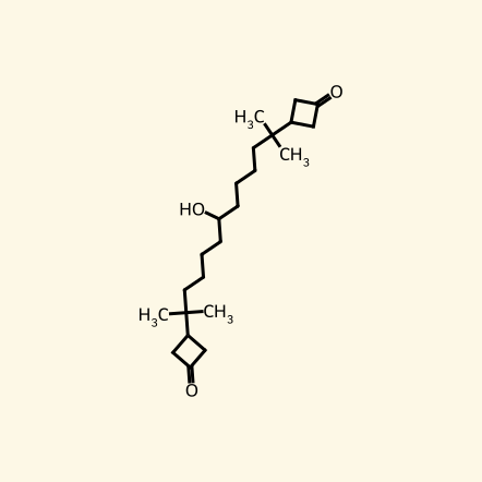 CC(C)(CCCCC(O)CCCCC(C)(C)C1CC(=O)C1)C1CC(=O)C1